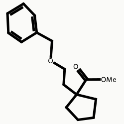 COC(=O)C1(CCOCc2ccccc2)CCCC1